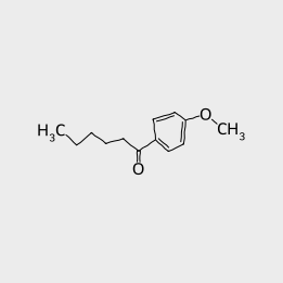 CCCCCC(=O)c1ccc(OC)cc1